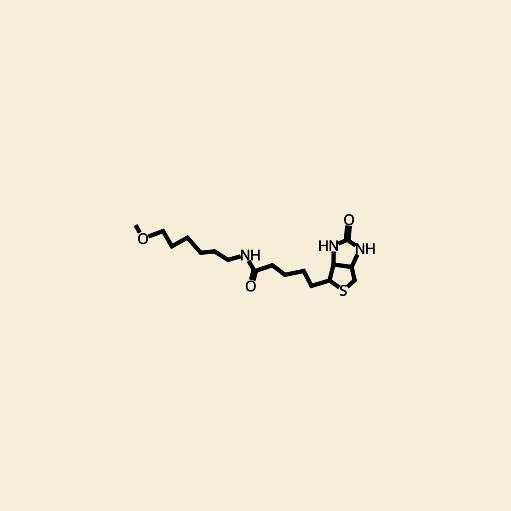 COCCCCCCNC(=O)CCCCC1SCC2NC(=O)NC21